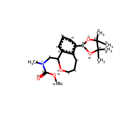 CN(CC1OCCCc2c(B3OC(C)(C)C(C)(C)O3)cccc21)C(=O)OC(C)(C)C